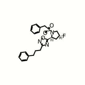 O=S(=O)(Cc1ccccc1)N1C[C@H](F)C[C@H]1c1nc(CCCc2ccccc2)no1